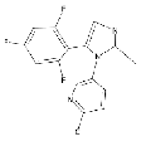 Cc1ncc(-c2c(F)cc(F)cc2F)n1-c1ccc(Cl)nc1